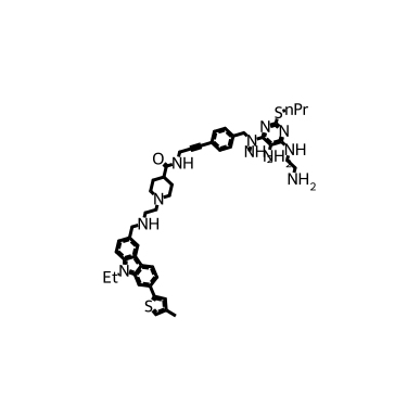 CCCSc1nc(NCCN)c(N)c(N(N)Cc2ccc(C#CCNC(=O)C3CCN(CCNCc4ccc5c(c4)c4ccc(-c6cc(C)cs6)cc4n5CC)CC3)cc2)n1